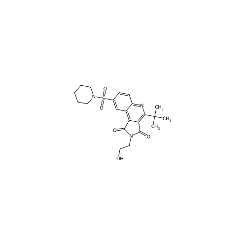 CC(C)(C)c1nc2ccc(S(=O)(=O)N3CCCCC3)cc2c2c1C(=O)N(CCO)C2=O